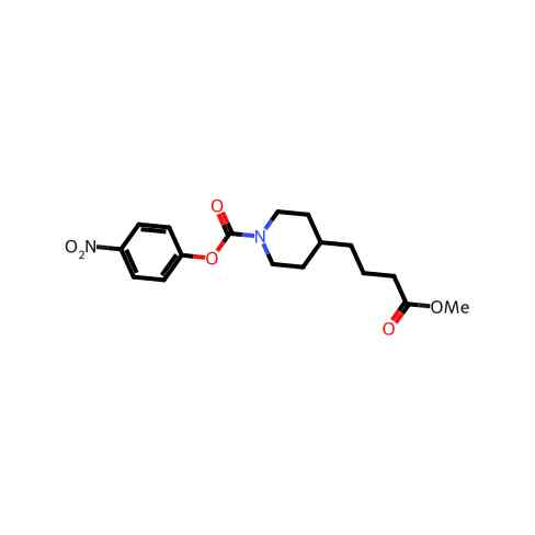 COC(=O)CCCC1CCN(C(=O)Oc2ccc([N+](=O)[O-])cc2)CC1